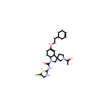 CC(=O)N1CCC2(C1)CN(C(=O)NC1NCC(Cl)S1)C1CCC(OCCC3CC=CCC3)=CC12